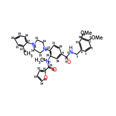 COc1ccc(CNC(=O)c2ccc(N3CCN(c4ccccc4C)CC3)c(N(C)C(=O)c3ccco3)c2)cc1OC